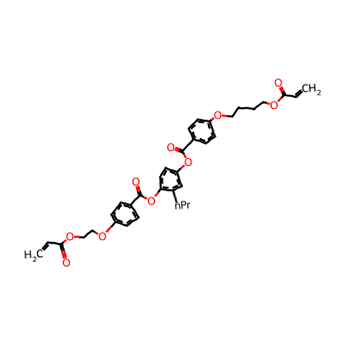 C=CC(=O)OCCCCOc1ccc(C(=O)Oc2ccc(OC(=O)c3ccc(OCCOC(=O)C=C)cc3)c(CCC)c2)cc1